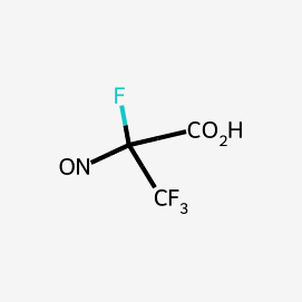 O=NC(F)(C(=O)O)C(F)(F)F